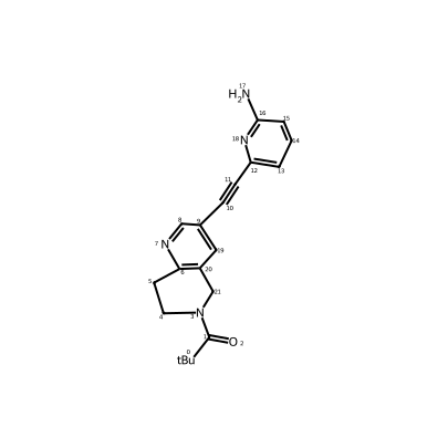 CC(C)(C)C(=O)N1CCc2ncc(C#Cc3cccc(N)n3)cc2C1